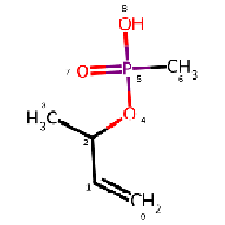 C=CC(C)OP(C)(=O)O